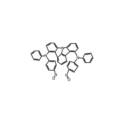 O=Nc1ccc(N(c2ccccc2)c2cccc3c2c2cccc4c5c(N(c6ccccc6)c6ccc(N=O)cc6)cccc5n3c24)cc1